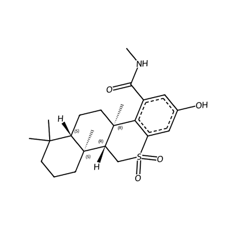 CNC(=O)c1cc(O)cc2c1[C@]1(C)CC[C@H]3C(C)(C)CCC[C@]3(C)[C@H]1CS2(=O)=O